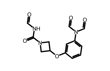 O=CNC(=O)N1CC(Oc2cccc(N(C=O)C=O)c2)C1